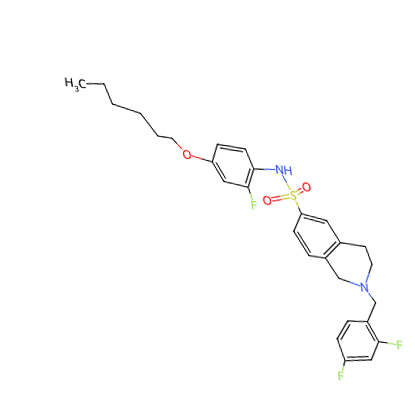 CCCCCCOc1ccc(NS(=O)(=O)c2ccc3c(c2)CCN(Cc2ccc(F)cc2F)C3)c(F)c1